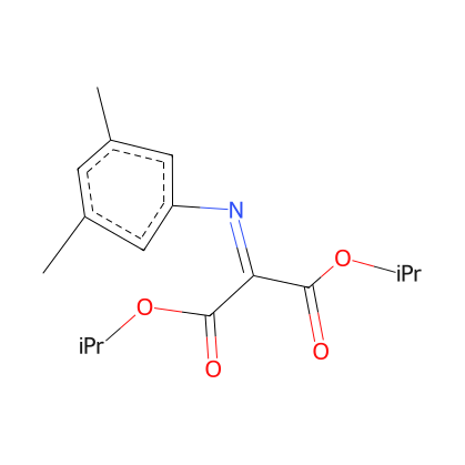 Cc1cc(C)cc(N=C(C(=O)OC(C)C)C(=O)OC(C)C)c1